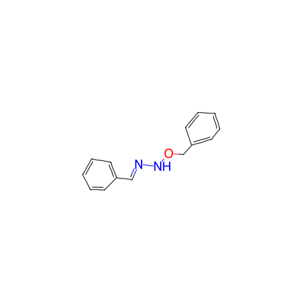 C(=N\NOCc1ccccc1)/c1ccccc1